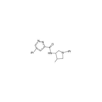 CC(C)c1cnnc(C(=O)NC2CN(C(C)C)CC2C)c1